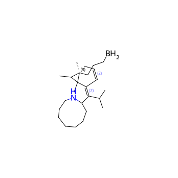 BCCC[C@]1(C)C(C)C1(C)C(/C=C\C)=C(/C(C)C)C1CCCCCCCN1